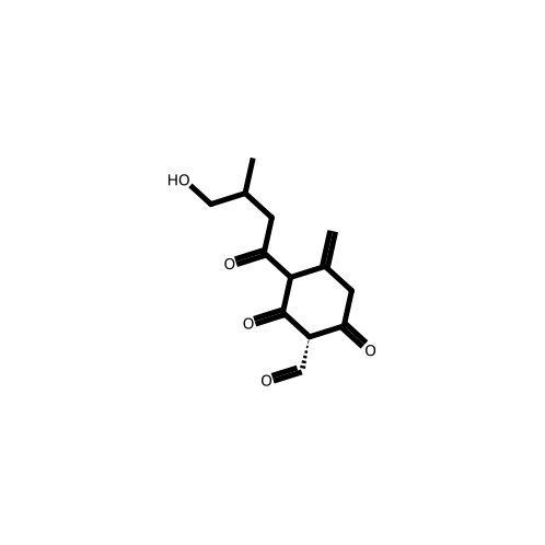 C=C1CC(=O)[C@H](C=O)C(=O)C1C(=O)CC(C)CO